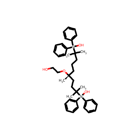 CC(C)(CCC[C@](C)(CCC(C)(C)[Si](O)(c1ccccc1)c1ccccc1)OCCO)[Si](O)(c1ccccc1)c1ccccc1